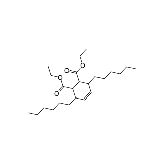 CCCCCCC1C=CC(CCCCCC)C(C(=O)OCC)C1C(=O)OCC